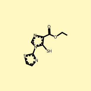 CCOC(=O)c1ncn(-c2nccs2)c1S